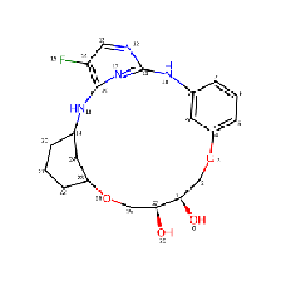 O[C@@H]1COc2cccc(c2)Nc2ncc(F)c(n2)NC2CCCC(C2)OC[C@@H]1O